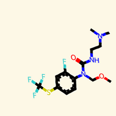 COCN(C(=O)NCCN(C)C)c1ccc(SC(F)(F)F)cc1F